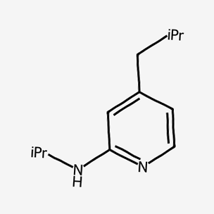 CC(C)Cc1ccnc(NC(C)C)c1